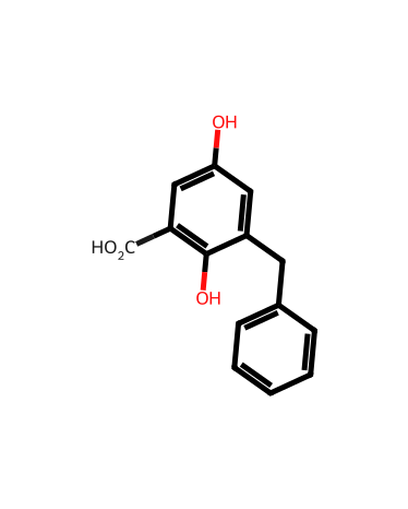 O=C(O)c1cc(O)cc(Cc2ccccc2)c1O